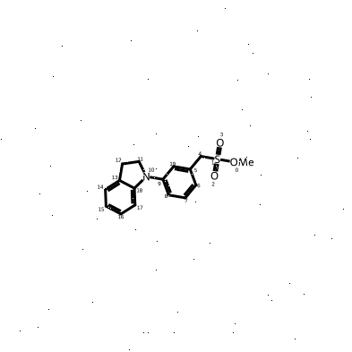 COS(=O)(=O)Cc1cccc(N2CCc3ccccc32)c1